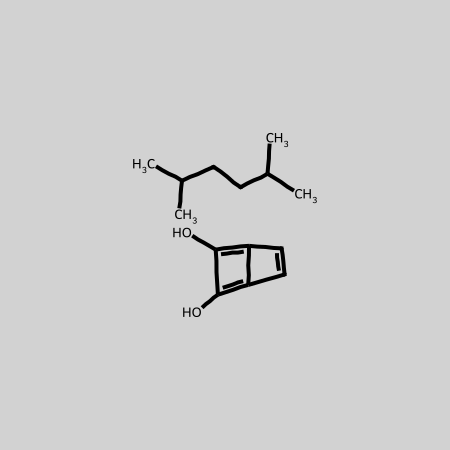 CC(C)CCC(C)C.Oc1c2ccc-2c1O